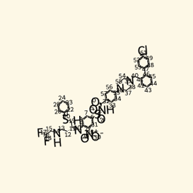 O=C(NS(=O)(=O)c1ccc(N[C@H](CCNCC(F)F)CSc2ccccc2)c([N+](=O)[O-])c1)c1ccc(N2CCN(Cc3ccccc3-c3ccc(Cl)cc3)CC2)cc1